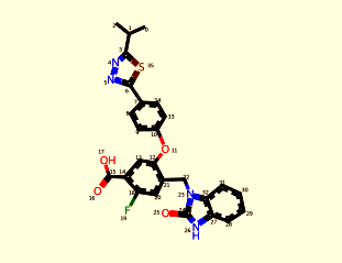 CC(C)c1nnc(-c2ccc(Oc3cc(C(=O)O)c(F)cc3Cn3c(=O)[nH]c4ccccc43)cc2)s1